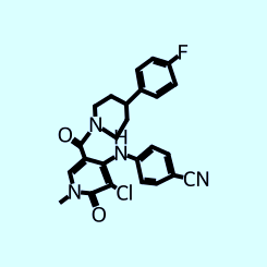 Cn1cc(C(=O)N2CCC(c3ccc(F)cc3)CC2)c(Nc2ccc(C#N)cc2)c(Cl)c1=O